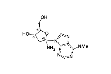 CNc1ncnc2c1ncn2[C@@]1(N)C[C@H](O)[C@@H](CO)O1